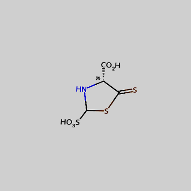 O=C(O)[C@H]1NC(S(=O)(=O)O)SC1=S